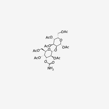 CC(=O)OC[C@@H]1O[C@H](OC(C)=O)[C@@H](O[C@H]2O[C@H](COC(C)=O)[C@@H](OC(C)=O)[C@@H](OC(N)=O)[C@@H]2OC(C)=O)[C@@H](OC(C)=O)[C@@H]1OC(C)=O